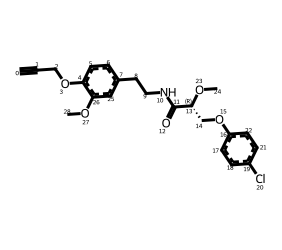 C#CCOc1ccc(CCNC(=O)[C@@H](COc2ccc(Cl)cc2)OC)cc1OC